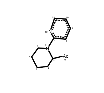 CC(=O)C1CCCCN1c1ccccn1